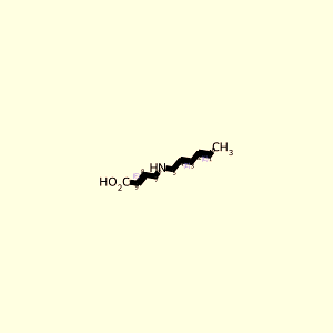 C/C=C/C=C/CNC/C=C/C(=O)O